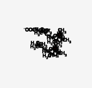 C[C@@H]1CC[C@H]2[C@@H](C)C(NCCCC[N+](C)(C)C)O[C@@H]3O[C@]4(C)CC[C@@H]1[C@]32OO4.C[C@@H]1CC[C@H]2[C@@H](C)C(NCCCC[N+](C)(C)C)O[C@@H]3O[C@]4(C)CC[C@@H]1[C@]32OO4.O=C([O-])/C=C/C(=O)[O-]